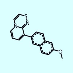 COc1ccc2cc(C3=CC=CN4C=CSN=C34)ccc2c1